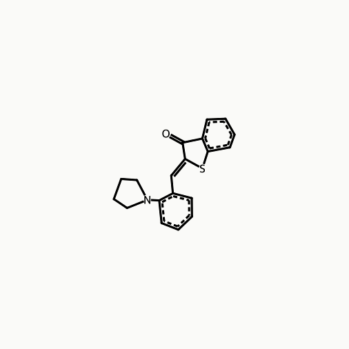 O=C1C(=Cc2ccccc2N2CCCC2)Sc2ccccc21